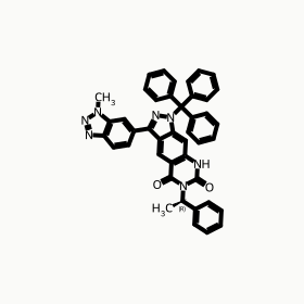 C[C@H](c1ccccc1)n1c(=O)[nH]c2cc3c(cc2c1=O)c(-c1ccc2nnn(C)c2c1)nn3C(c1ccccc1)(c1ccccc1)c1ccccc1